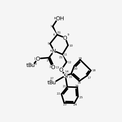 CC(C)(C)OC(=O)N1C[C@@H](CO)OC[C@H]1CO[Si](c1ccccc1)(c1ccccc1)C(C)(C)C